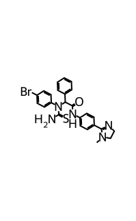 CN1CCN=C1c1ccc(NC(=O)C(c2ccccc2)N(C(N)=S)c2ccc(Br)cc2)cc1